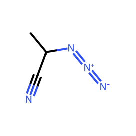 C[C](C#N)N=[N+]=[N-]